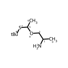 CC(N)COC(C)SC(C)(C)C